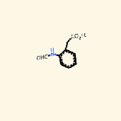 CCOC(=O)Cc1ccccc1NC=O